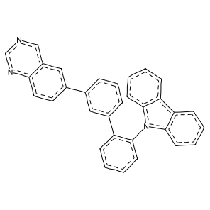 c1cc(-c2ccc3ncncc3c2)cc(-c2ccccc2-n2c3ccccc3c3ccccc32)c1